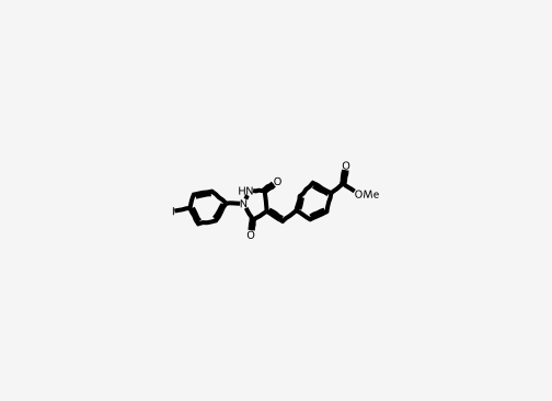 COC(=O)c1ccc(/C=C2\C(=O)NN(c3ccc(I)cc3)C2=O)cc1